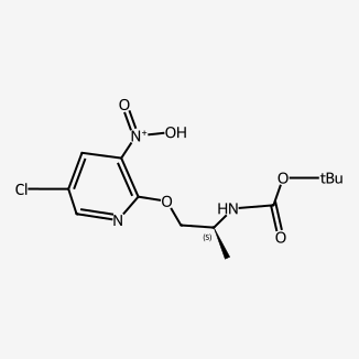 C[C@@H](COc1ncc(Cl)cc1[N+](=O)O)NC(=O)OC(C)(C)C